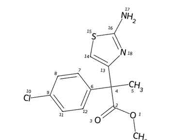 COC(=O)C(C)(c1ccc(Cl)cc1)c1csc(N)n1